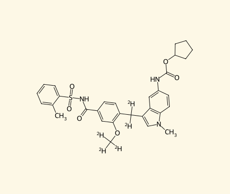 [2H]C([2H])([2H])Oc1cc(C(=O)NS(=O)(=O)c2ccccc2C)ccc1C([2H])([2H])c1cn(C)c2ccc(NC(=O)OC3CCCC3)cc12